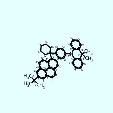 CC(C)(C)c1cc2ccc3ccc(C4(c5ccc(N6c7ccccc7C(C)(C)c7ccccc76)cc5)CCCCC4)c4ccc(c1)c2c34